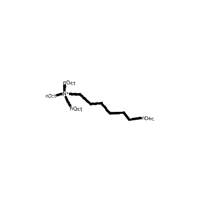 CCCCCCCCCCCCCCCC[N+](CCCCCCCC)(CCCCCCCC)CCCCCCCC